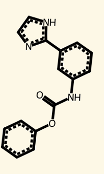 O=C(Nc1cccc(-c2ncc[nH]2)c1)Oc1ccccc1